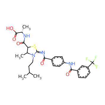 CC(C)CCN1C(=NC(=O)c2ccc(NC(=O)c3cccc(C(F)(F)F)c3)cc2)SC(C(=O)N[C@@H](C)C(=O)O)C1C